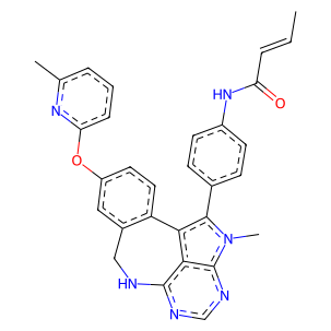 C/C=C/C(=O)Nc1ccc(-c2c3c4c(ncnc4n2C)NCc2cc(Oc4cccc(C)n4)ccc2-3)cc1